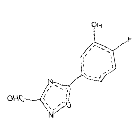 O=Cc1noc(-c2ccc(F)c(O)c2)n1